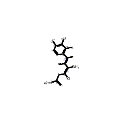 C=C(CCCCC)C/C(Cl)=C(N)\C(C)=C(/C)c1ccc(Cl)c(CC)c1C